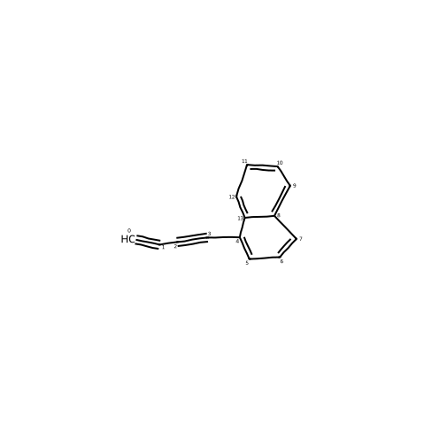 C#CC#Cc1cccc2ccccc12